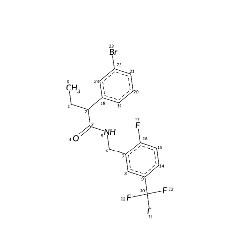 CCC(C(=O)NCc1cc(C(F)(F)F)ccc1F)c1cccc(Br)c1